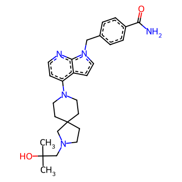 CC(C)(O)CN1CCC2(CCN(c3ccnc4c3ccn4Cc3ccc(C(N)=O)cc3)CC2)C1